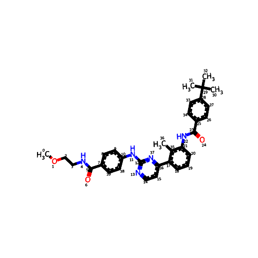 COCCNC(=O)c1ccc(Nc2nccc(-c3cccc(NC(=O)c4ccc(C(C)(C)C)cc4)c3C)n2)cc1